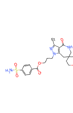 CCc1nn(CCCOC(=O)c2ccc(S(N)(=O)=O)cc2)c2c1C(=O)NCC1(CCOCC1)C2